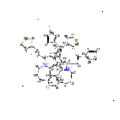 C(=C\c1cc(/C=C/c2ccsc2)[n+]2c(c1)-c1c(ccc3c1-c1cc(/C=C/c4ccsc4)cc(/C=C/c4ccsc4)[n+]1CCC3)CCC2)/c1ccsc1